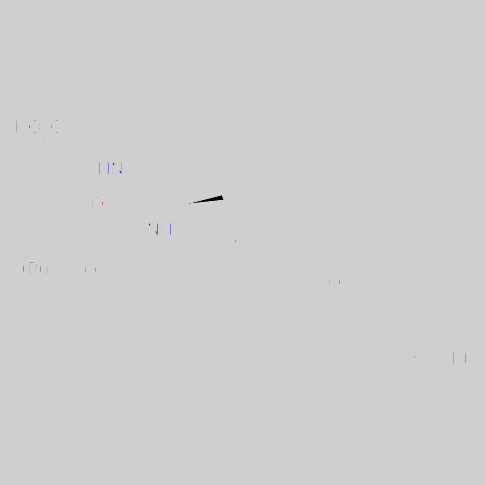 CCOCCOCCOC[C@H](CNCC(=O)O)NC(=O)OC(C)(C)C